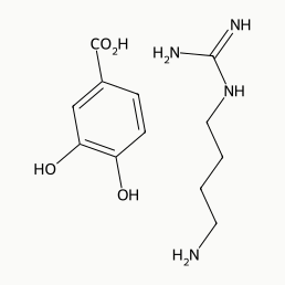 N=C(N)NCCCCN.O=C(O)c1ccc(O)c(O)c1